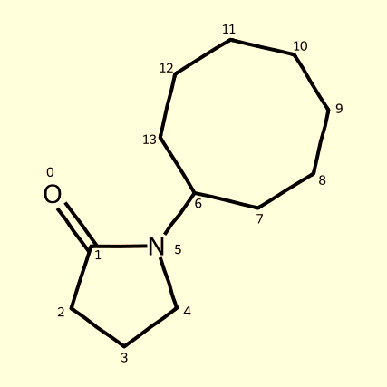 O=C1CCCN1C1CCCCCCC1